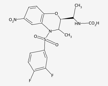 CC(NC(=O)O)[C@@H]1Oc2ccc([N+](=O)[O-])cc2N(S(=O)(=O)c2ccc(F)c(F)c2)C1C